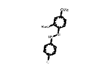 COc1ccc(NNc2ccc(Cl)cc2)c(OC)c1